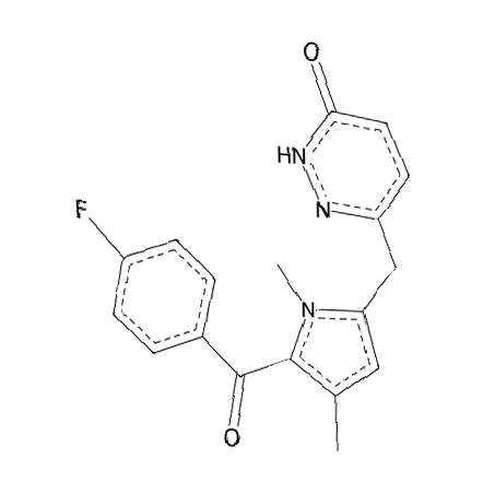 Cc1cc(Cc2ccc(=O)[nH]n2)n(C)c1C(=O)c1ccc(F)cc1